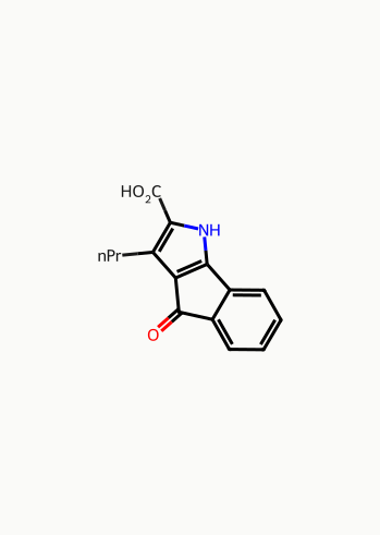 CCCc1c(C(=O)O)[nH]c2c1C(=O)c1ccccc1-2